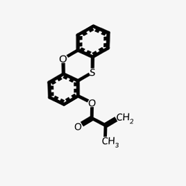 C=C(C)C(=O)Oc1cccc2c1Sc1ccccc1O2